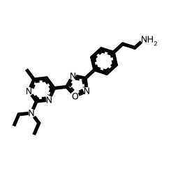 CCN(CC)c1nc(C)cc(-c2nc(-c3ccc(CCN)cc3)no2)n1